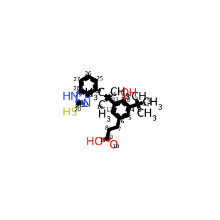 CC(C)(C)c1cc(CCC(=O)O)cc(C(C)(C)C)c1O.Sc1nc2ccccc2[nH]1